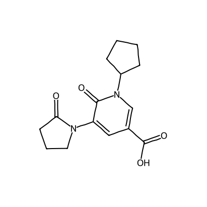 O=C(O)c1cc(N2CCCC2=O)c(=O)n(C2CCCC2)c1